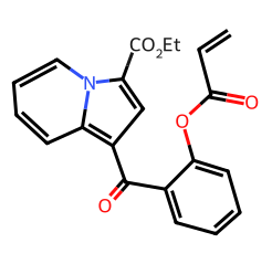 C=CC(=O)Oc1ccccc1C(=O)c1cc(C(=O)OCC)n2ccccc12